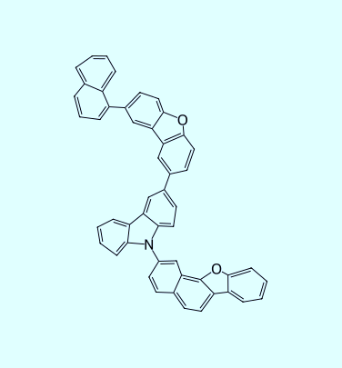 c1ccc2c(-c3ccc4oc5ccc(-c6ccc7c(c6)c6ccccc6n7-c6ccc7ccc8c9ccccc9oc8c7c6)cc5c4c3)cccc2c1